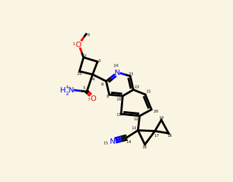 COC1CC(C(N)=O)(c2cc3cc(C4(C#N)CC45CC5)ccc3cn2)C1